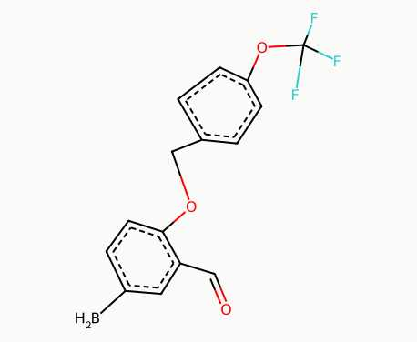 Bc1ccc(OCc2ccc(OC(F)(F)F)cc2)c(C=O)c1